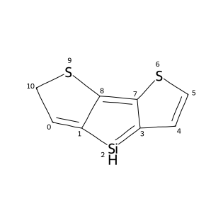 C1=C2[SiH]=c3ccsc3=C2SC1